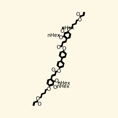 C=CC(=O)OCCCCOc1ccc(C=CC(=O)Oc2ccc(-c3ccc(OC(=O)C=Cc4ccc(OCCCCOC(=O)C=C)c(OCCCCCC)c4OCCCCCC)cc3)cc2)c(OCCCCCC)c1OCCCCCC